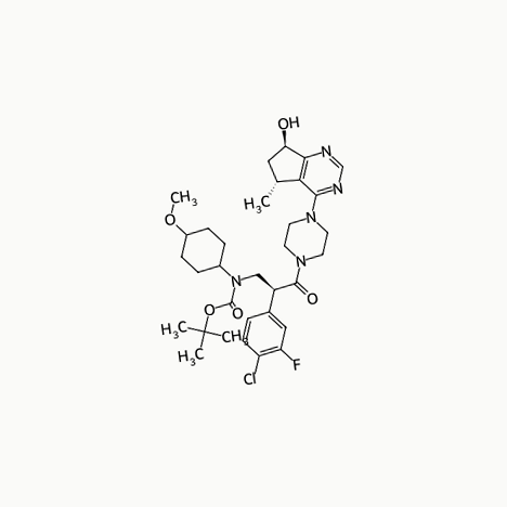 COC1CCC(N(C[C@@H](C(=O)N2CCN(c3ncnc4c3[C@H](C)C[C@H]4O)CC2)c2ccc(Cl)c(F)c2)C(=O)OC(C)(C)C)CC1